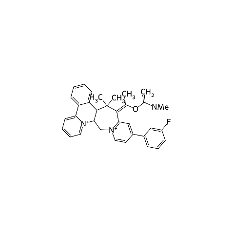 C=C(NC)O/C(C)=C1\c2cc(-c3cccc(F)c3)cc[n+]2CC2C(c3ccccc3-c3cccc[n+]32)C1(C)C